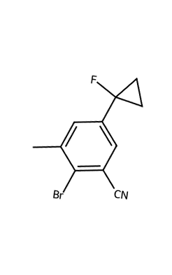 Cc1cc(C2(F)CC2)cc(C#N)c1Br